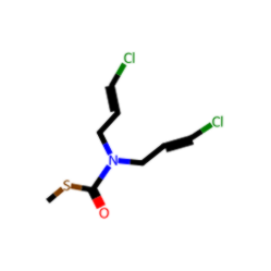 CSC(=O)N(CC=CCl)CC=CCl